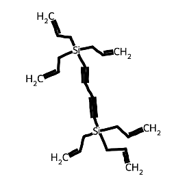 C=CC[Si](C#CC#C[Si](CC=C)(CC=C)CC=C)(CC=C)CC=C